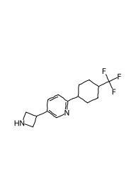 FC(F)(F)C1CCC(c2ccc(C3CNC3)cn2)CC1